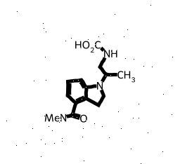 CNC(=O)c1cccc2c1CCN2C(C)CNC(=O)O